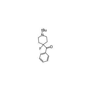 CC(C)(C)N1CCC(F)(C(=O)c2ccccc2)CC1